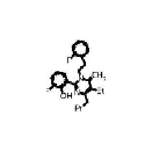 C=C1C(CC)=C(CC(C)C)N=C(c2cccc(F)c2O)N1CCc1ccccc1F